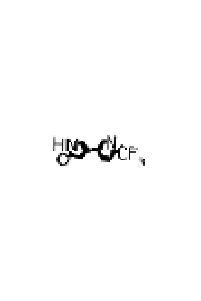 O=C1CC(c2ccc(C(F)(F)F)nc2)CN1